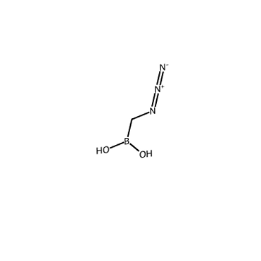 [N-]=[N+]=NCB(O)O